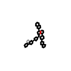 c1ccc(-c2ccc(-c3ccc4ccccc4c3)cc2N(c2ccc(-c3ccc4ccccc4c3)cc2)c2ccc(-c3ccc4c(c3)oc3ccccc34)cc2)cc1